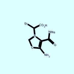 CCC(C(=O)O)N1COC(N)=C1C(=O)NC